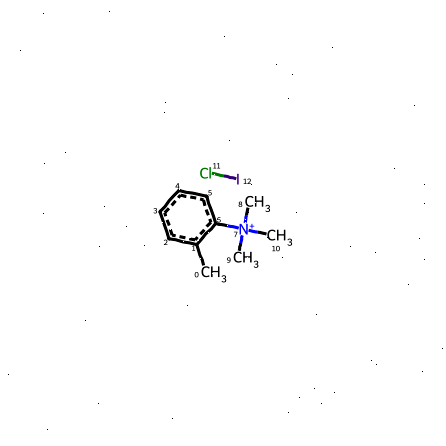 Cc1ccccc1[N+](C)(C)C.ClI